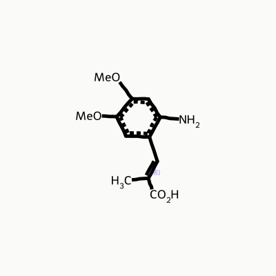 COc1cc(N)c(/C=C(\C)C(=O)O)cc1OC